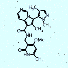 COc1cc(C)[nH]c(=O)c1CNC(=O)c1c(C)c(-c2c(C)cnn2C)n2cnccc12